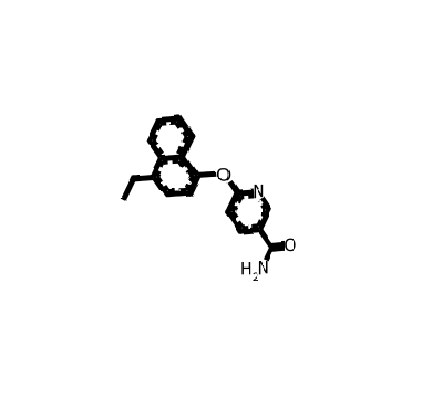 CCc1ccc(Oc2ccc(C(N)=O)cn2)c2ccccc12